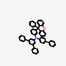 c1ccc(-c2ccc(N(c3cc(-c4ccccc4)cc(-c4ccccc4)c3)c3cccc(C4(c5ccccc5)c5ccccc5Oc5ccccc54)c3)cc2)cc1